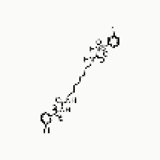 O=C(NCCCCCCCCNC(=O)NS(=O)(=O)c1cccc(Cl)c1)NS(=O)(=O)c1cccc(Cl)c1